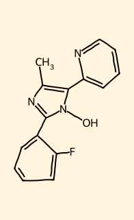 Cc1nc(-c2ccccc2F)n(O)c1-c1ccccn1